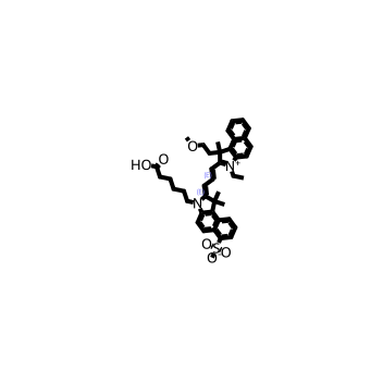 CC[N+]1=C(/C=C/C=C2/N(CCCCCC(=O)O)c3ccc4c(S(=O)(=O)[O-])cccc4c3C2(C)C)C(C)(CCOC)c2c1ccc1ccccc21